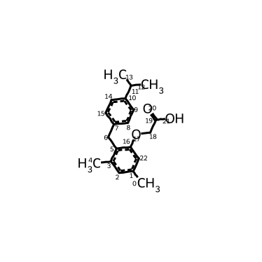 Cc1cc(C)c(Cc2ccc(C(C)C)cc2)c(OCC(=O)O)c1